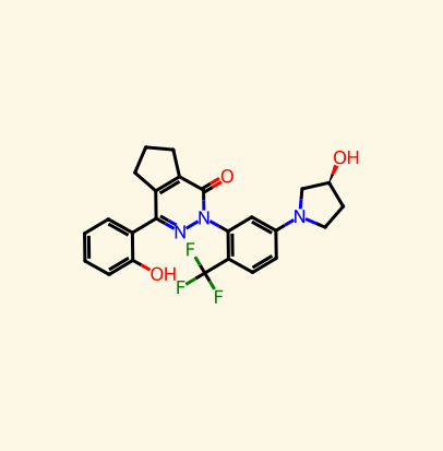 O=c1c2c(c(-c3ccccc3O)nn1-c1cc(N3CC[C@H](O)C3)ccc1C(F)(F)F)CCC2